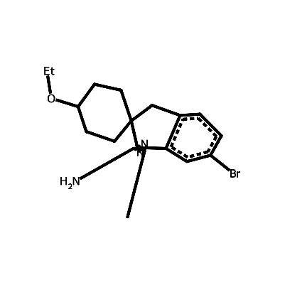 CCOC1CCC2(CC1)Cc1ccc(Br)cc1C21N=C(C)C(N)=N1